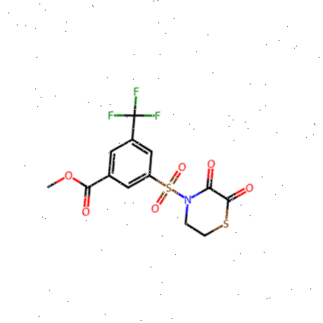 COC(=O)c1cc(C(F)(F)F)cc(S(=O)(=O)N2CCSC(=O)C2=O)c1